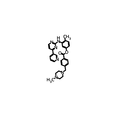 Cc1ccc(OC(=O)c2ccc(CN3CCN(C)CC3)cc2)cc1Nc1nccc(-c2cccnc2)n1